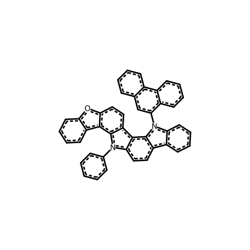 c1ccc(-n2c3ccc4c5ccccc5n(-c5cc6ccccc6c6ccccc56)c4c3c3ccc4oc5ccccc5c4c32)cc1